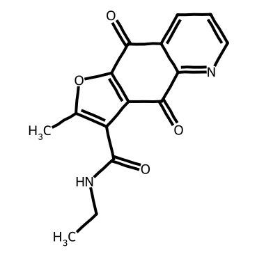 CCNC(=O)c1c(C)oc2c1C(=O)c1ncccc1C2=O